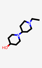 CCN1CCC(N2CCC(O)CC2)CC1